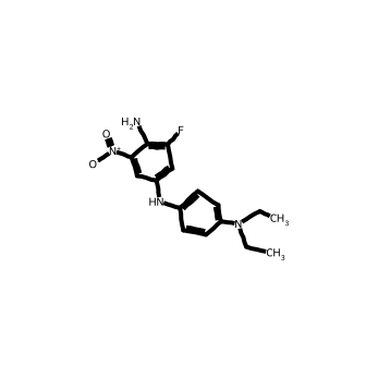 CCN(CC)c1ccc(Nc2cc(F)c(N)c([N+](=O)[O-])c2)cc1